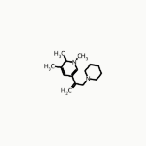 C=C(CN1CCCCC1)C1=CN(C)C(C)C(C)=C1